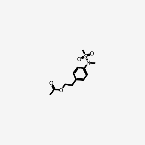 CC(=O)OCCc1ccc(N(C)S(C)(=O)=O)cc1